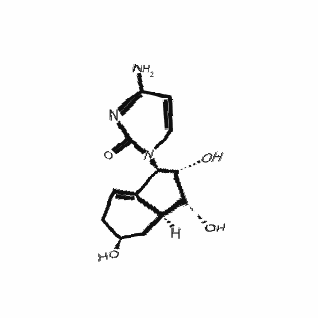 Nc1ccn([C@@H]2C3=CC[C@H](O)C[C@@H]3[C@@H](O)[C@H]2O)c(=O)n1